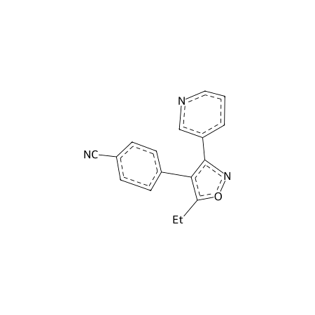 CCc1onc(-c2cccnc2)c1-c1ccc(C#N)cc1